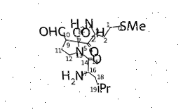 CSCCC(N)C(=O)C1(C(=O)O)C(C=O)CCN1C(=O)C(N)CC(C)C